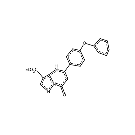 CCOC(=O)c1cnn2c(=O)cc(-c3ccc(Oc4ccccc4)cc3)[nH]c12